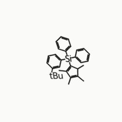 CC1=C(C)C(C)C([Si](c2ccccc2)(c2ccccc2)c2cccc(C(C)(C)C)c2)=C1C